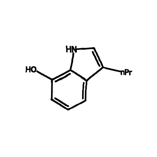 CCCc1c[nH]c2c(O)cccc12